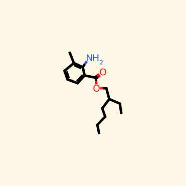 CCCCC(CC)COC(=O)c1cccc(C)c1N